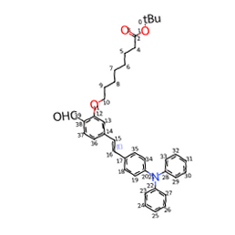 CC(C)(C)OC(=O)CCCCCCCOc1cc(/C=C/c2ccc(N(c3ccccc3)c3ccccc3)cc2)ccc1C=O